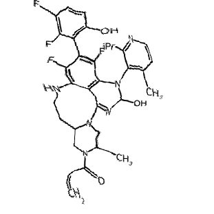 C=CC(=O)N1CC2CCNc3c(F)c(-c4c(O)ccc(F)c4F)c(F)c4c3C(=NC(O)N4c3c(C)ccnc3C(C)C)N2CC1C